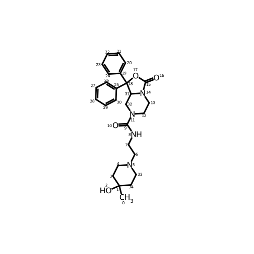 CC1(O)CCN(CCNC(=O)N2CCN3C(=O)OC(c4ccccc4)(c4ccccc4)C3C2)CC1